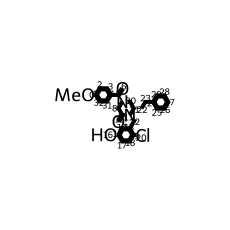 COc1ccc(C(=O)N2CC(=O)N(Cc3cc(O)ccc3Cl)[C@@H](CCc3ccccc3)C2)cc1